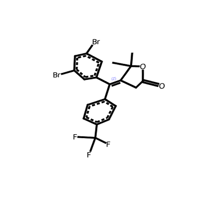 CC1(C)OC(=O)C/C1=C(\c1ccc(C(F)(F)F)cc1)c1cc(Br)cc(Br)c1